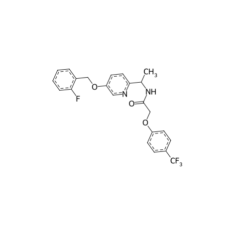 CC(NC(=O)COc1ccc(C(F)(F)F)cc1)c1ccc(OCc2ccccc2F)cn1